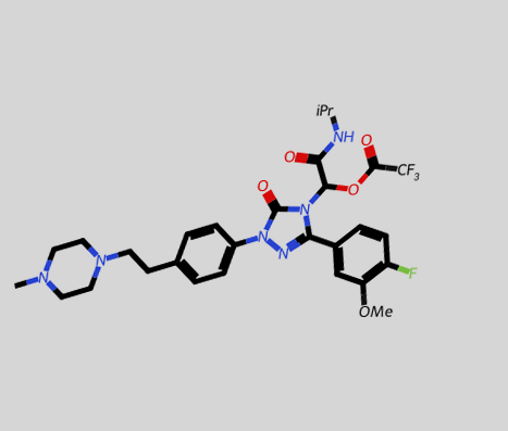 COc1cc(-c2nn(-c3ccc(CCN4CCN(C)CC4)cc3)c(=O)n2C(OC(=O)C(F)(F)F)C(=O)NC(C)C)ccc1F